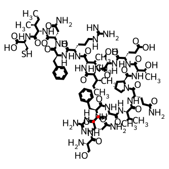 CC[C@H](C)[C@H](NC(=O)[C@H](CC(N)=O)NC(=O)[C@H](Cc1ccccc1)NC(=O)[C@H](CCCNC(=N)N)NC(=O)[C@@H](NC(=O)[C@@H](NC(=O)[C@H](CO)NC(=O)[C@H](CCC(=O)O)NC(=O)[C@@H](NC(=O)[C@@H]1CCCN1C(=O)[C@H](CCC(N)=O)NC(=O)[C@@H](NC(=O)[C@H](CCCNC(=N)N)NC(=O)[C@H](Cc1ccccc1)NC(=O)[C@H](CC(N)=O)NC(=O)[C@@H](N)CO)C(C)C)[C@@H](C)O)[C@@H](C)CC)C(C)C)C(=O)N[C@@H](CS)C(=O)O